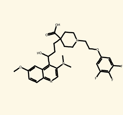 COc1ccc2ncc(N(C)C)c(C(O)CCC3(C(=O)O)CCN(CCOc4cc(F)c(F)c(F)c4)CC3)c2c1